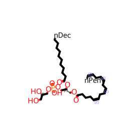 CCCCC/C=C\C/C=C\C/C=C\C/C=C\CCCC(=O)OC[C@H](COP(=O)(O)OC[C@@H](O)CO)OC(=O)CCCCCCCCCCCCCCCCCCCC